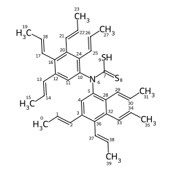 CC=Cc1cc(N(C(=S)S)c2cc(C=CC)c(C=CC)c(C=CC)c2C=CC)c(C=CC)c(C=CC)c1C=CC